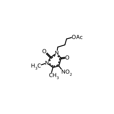 CC(=O)OCCCn1c(=O)c([N+](=O)[O-])c(C)n(C)c1=O